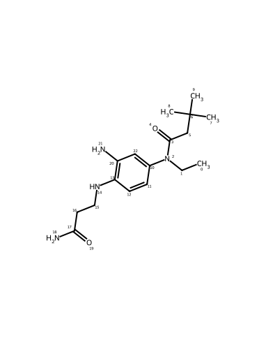 CCN(C(=O)CC(C)(C)C)c1ccc(NCCC(N)=O)c(N)c1